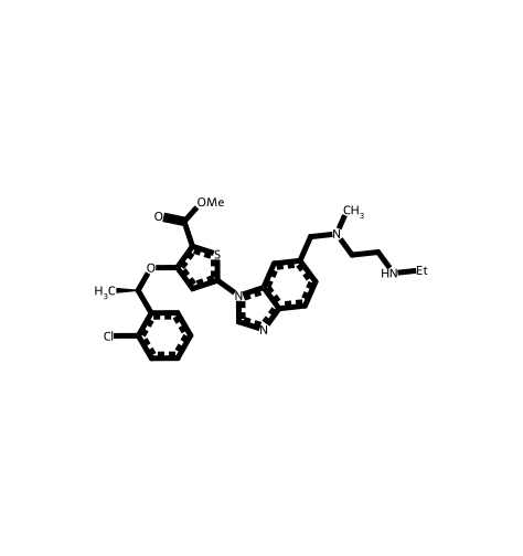 CCNCCN(C)Cc1ccc2ncn(-c3cc(O[C@H](C)c4ccccc4Cl)c(C(=O)OC)s3)c2c1